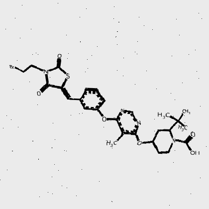 Cc1c(Oc2cccc(/C=C3\SC(=O)N(CCBr)C3=O)c2)ncnc1OC1CCN(C(=O)O)C(C(C)(C)C)C1